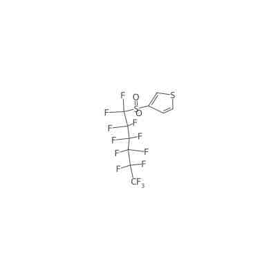 O=S(=O)(c1ccsc1)C(F)(F)C(F)(F)C(F)(F)C(F)(F)C(F)(F)C(F)(F)F